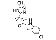 Cc1nnc(C2(NC(=O)c3cc4cc(Cl)ccc4[nH]3)CC2)[nH]1